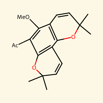 COc1c2c(c3c(c1C(C)=O)OC(C)(C)C=C3)OC(C)(C)C=C2